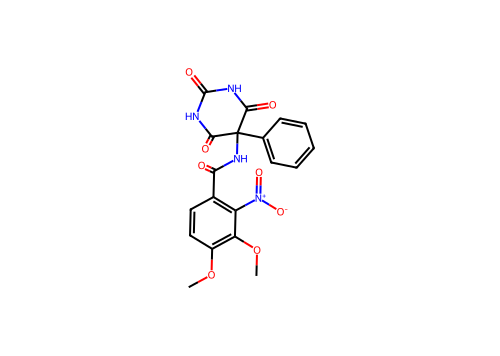 COc1ccc(C(=O)NC2(c3ccccc3)C(=O)NC(=O)NC2=O)c([N+](=O)[O-])c1OC